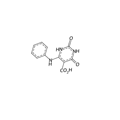 O=C(O)c1c(Nc2ccccc2)[nH]c(=O)[nH]c1=O